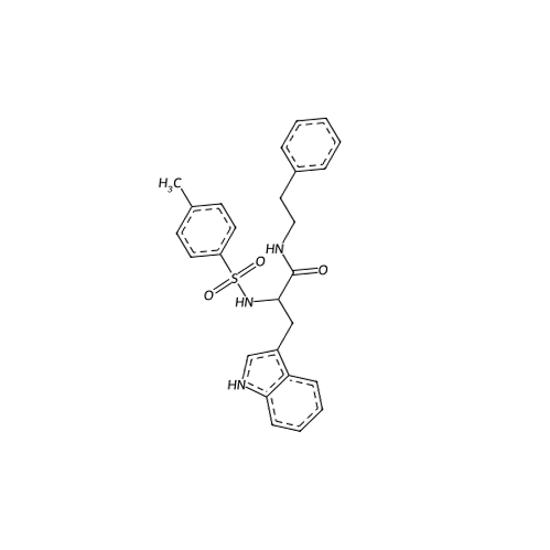 Cc1ccc(S(=O)(=O)NC(Cc2c[nH]c3ccccc23)C(=O)NCCc2ccccc2)cc1